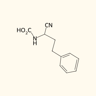 N#CC(CCc1ccccc1)NC(=O)O